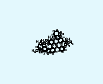 Cc1cc2c3c(c1)N1c4c(cc(C(C)(C)C)cc4C4(C)CCCCC14C)B3N(c1ccccc1)c1ccc3oc4cc5c(cc4c3c1-2)C(C)(C)CCC5(C)C